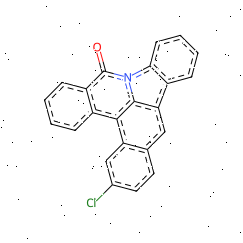 O=c1c2ccccc2c2c3cc(Cl)ccc3cc3c4ccccc4n1c32